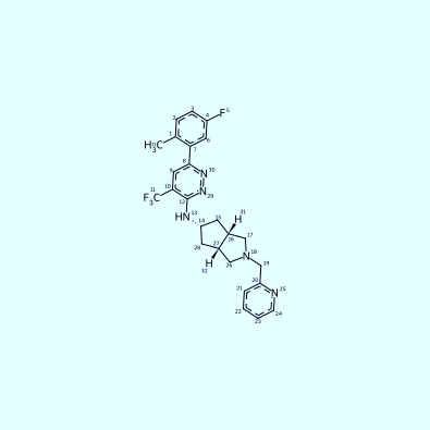 Cc1ccc(F)cc1-c1cc(C(F)(F)F)c(N[C@@H]2C[C@@H]3CN(Cc4ccccn4)C[C@@H]3C2)nn1